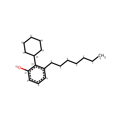 CCCCCCCc1cccc([O])c1C1CCCCC1